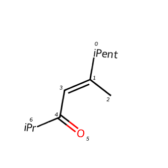 CCCC(C)/C(C)=C/C(=O)C(C)C